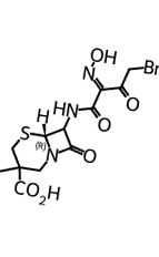 CC1(C(=O)O)CS[C@@H]2C(NC(=O)C(=NO)C(=O)CBr)C(=O)N2C1